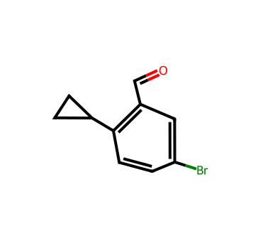 O=Cc1cc(Br)ccc1C1CC1